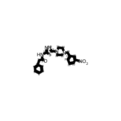 O=C(Cc1ccccc1)Nc1nnc(N2CCN(Cc3cccc([N+](=O)[O-])c3)CC2)s1